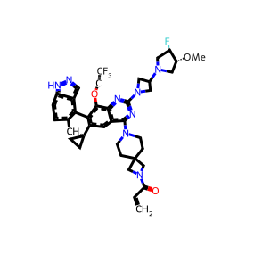 C=CC(=O)N1CC2(CCN(c3nc(N4CC(N5C[C@H](F)[C@H](OC)C5)C4)nc4c(OCC(F)(F)F)c(-c5c(C)ccc6[nH]ncc56)c(C5CC5)cc34)CC2)C1